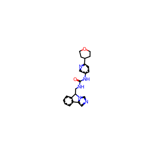 O=C(NCC1c2ccccc2-c2cncn21)Nc1ccc(C2CCOCC2)nc1